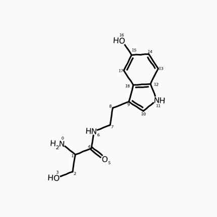 NC(CO)C(=O)NCCc1c[nH]c2ccc(O)cc12